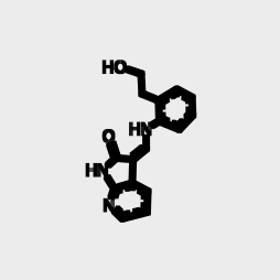 O=C1Nc2ncccc2C1=CNc1ccccc1CCO